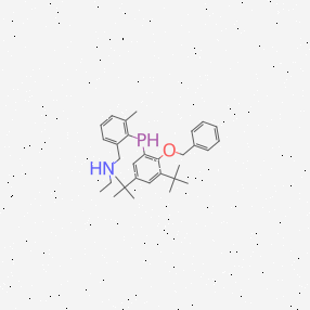 CCNCc1cccc(C)c1Pc1cc(C(C)(C)C)cc(C(C)(C)C)c1OCc1ccccc1